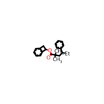 CCC(CC(C)(C)C(=O)OC1Cc2ccccc21)c1ccccc1